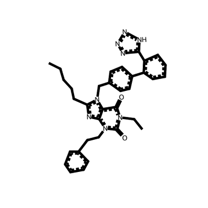 CCCCCc1nc2c(c(=O)n(CC)c(=O)n2CCc2ccccc2)n1Cc1ccc(-c2ccccc2-c2nnn[nH]2)cc1